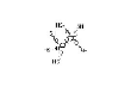 CC(C)(c1cc(COCCCS)c(OCCCS)c(COCCCS)c1)c1cc(COCCCS)c(OCCCS)c(COCCCS)c1